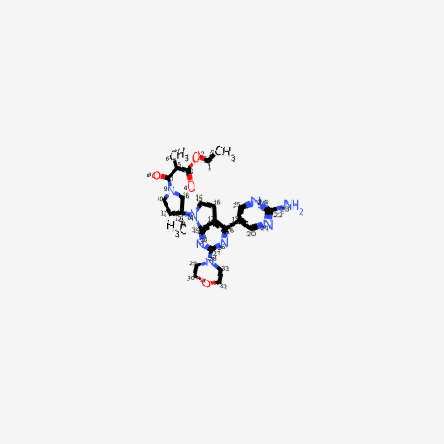 CCOC(=O)C(C)C(=O)N1CC[C@](C)(N2CCc3c(-c4cnc(N)nc4)nc(N4CCOCC4)nc32)C1